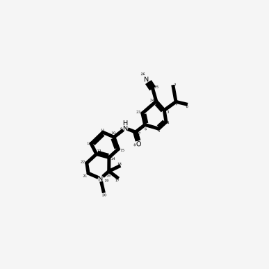 CC(C)c1ccc(C(=O)Nc2ccc3c(c2)C(C)(C)N(C)CC3)cc1C#N